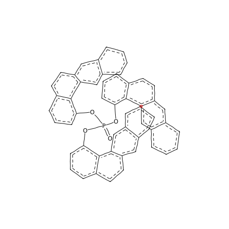 O=P(Oc1cccc2ccc3cc4ccccc4cc3c12)(Oc1cccc2ccc3cc4ccccc4cc3c12)Oc1cccc2ccc3cc4ccccc4cc3c12